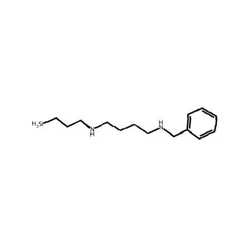 [SiH3]CCCNCCCCNCc1ccccc1